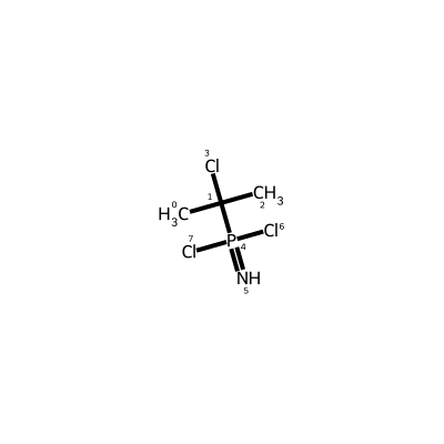 CC(C)(Cl)P(=N)(Cl)Cl